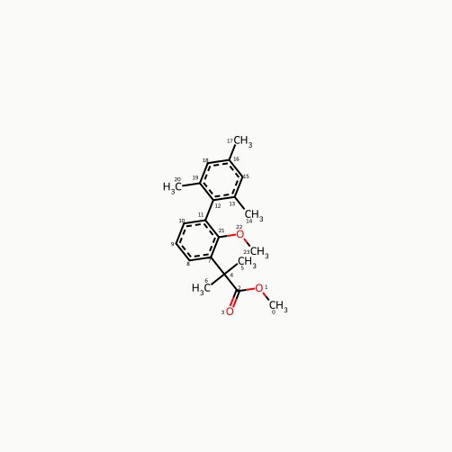 COC(=O)C(C)(C)c1cccc(-c2c(C)cc(C)cc2C)c1OC